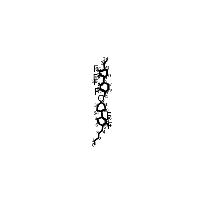 CCCCCc1ccc(C2=CCC(OCc3ccc(-c4ccc(CC)c(F)c4F)c(F)c3F)CC2)c(F)c1F